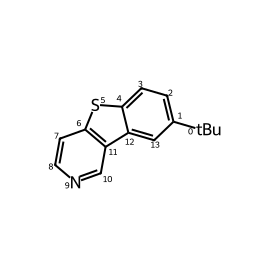 CC(C)(C)c1ccc2sc3ccncc3c2c1